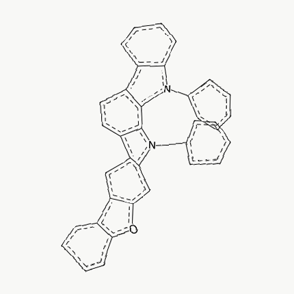 c1ccc(-n2c3ccccc3c3ccc4c5cc6c(cc5n(-c5ccccc5)c4c32)oc2ccccc26)cc1